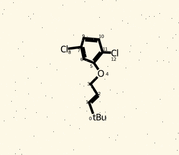 CC(C)(C)C=CCOc1cc(Cl)ccc1Cl